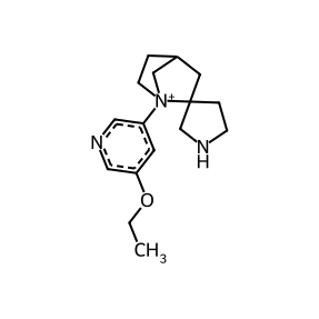 CCOc1cncc([N+]23CCC(CC24CCNC4)C3)c1